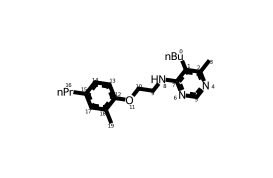 CCCCc1c(C)ncnc1NCCOc1ccc(CCC)cc1C